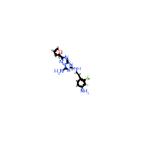 Nc1ccc(CCNc2nc(N)n3nc(-c4ccco4)nc3n2)c(F)c1